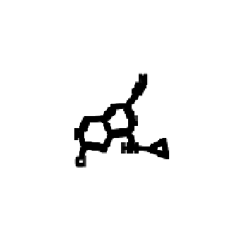 N#Cc1cc2cnc(Cl)cc2c(NC2CC2)n1